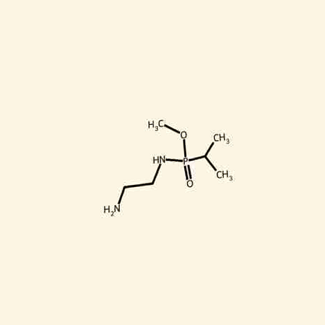 COP(=O)(NCCN)C(C)C